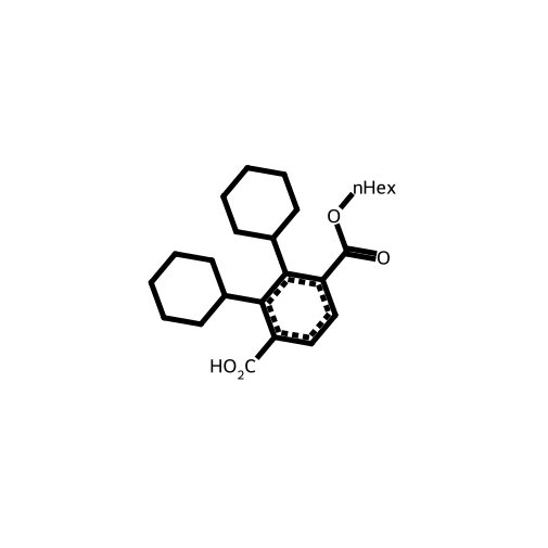 CCCCCCOC(=O)c1ccc(C(=O)O)c(C2CCCCC2)c1C1CCCCC1